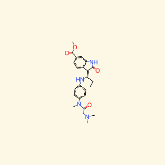 CCC(Nc1ccc(N(C)C(=O)CN(C)C)cc1)=C1C(=O)Nc2cc(C(=O)OC)ccc21